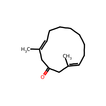 C/C1=C\CCCCCC/C=C(\C)CC(=O)C1